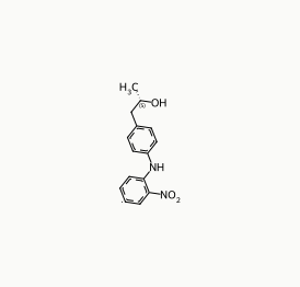 C[C@H](O)Cc1ccc(Nc2cc[c]cc2[N+](=O)[O-])cc1